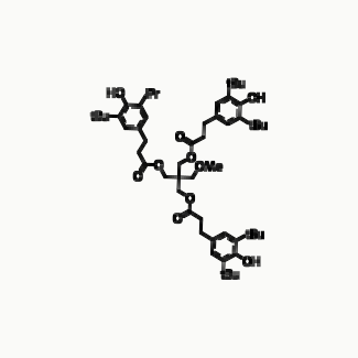 COCC(COC(=O)CCc1cc(C(C)C)c(O)c(C(C)(C)C)c1)(COC(=O)CCc1cc(C(C)(C)C)c(O)c(C(C)(C)C)c1)COC(=O)CCc1cc(C(C)(C)C)c(O)c(C(C)(C)C)c1